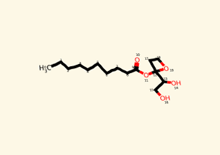 CCCCCCCCCC(=O)OC1(C(O)CO)CCO1